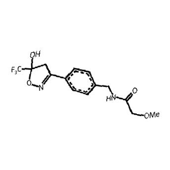 COCC(=O)NCc1ccc(C2=NOC(O)(C(F)(F)F)C2)cc1